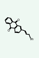 CC(C)CC=Cc1ccc2c(c1)C(=O)c1ccccc1C2=O